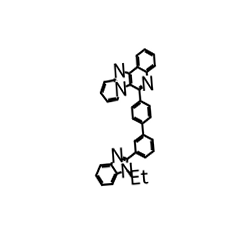 CCn1c(-c2cccc(-c3ccc(-c4nc5ccccc5c5nc6ccccn6c45)cc3)c2)nc2ccccc21